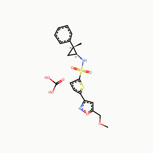 COCc1cc(-c2ccc(S(=O)(=O)N[C@H]3C[C@]3(C)c3ccccc3)s2)no1.O=C(O)O